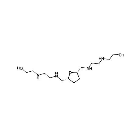 OCCNCCNC[C@H]1CC[C@@H](CNCCNCCO)O1